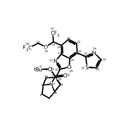 CC(C)(C)OC(=O)N1C2CCC1CN(c1nc3c(C(OCC(F)(F)F)C(F)(F)F)ccc(-c4nccs4)c3o1)C2